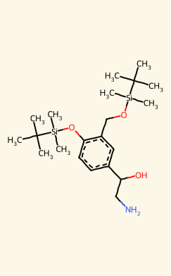 CC(C)(C)[Si](C)(C)OCc1cc(C(O)CN)ccc1O[Si](C)(C)C(C)(C)C